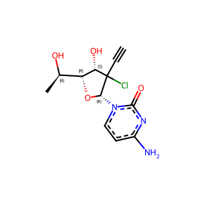 C#CC1(Cl)[C@@H](O)[C@@H]([C@@H](C)O)O[C@H]1n1ccc(N)nc1=O